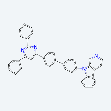 c1ccc(-c2cc(-c3ccc(-c4ccc(-n5c6ccccc6c6ccncc65)cc4)cc3)nc(-c3ccccc3)n2)cc1